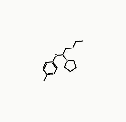 CCCCC(Oc1ccc(C)cc1)N1CCCC1